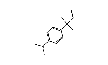 CCC(C)(C)c1ccc(N(C)C)cc1